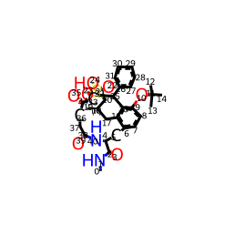 CNC(=O)C1Cc2ccc(OC(C)(C)C)c(c2C[C@@H](C)CS(=O)(=O)O)C(c2ccccc2)CCC(=O)CCC(=O)N1